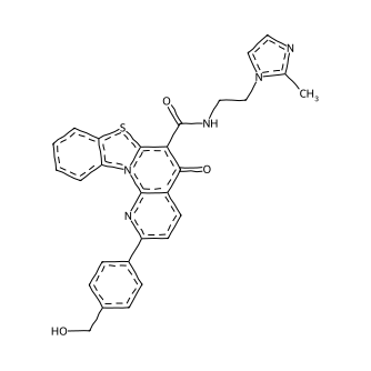 Cc1nccn1CCNC(=O)c1c(=O)c2ccc(-c3ccc(CO)cc3)nc2n2c1sc1ccccc12